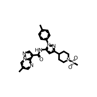 Cc1ccc(-n2nc(C3CCN(S(C)(=O)=O)CC3)cc2NC(=O)c2cnn3cc(C)cnc23)cc1